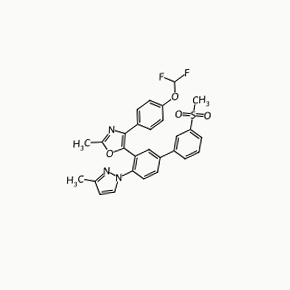 Cc1ccn(-c2ccc(-c3cccc(S(C)(=O)=O)c3)cc2-c2oc(C)nc2-c2ccc(OC(F)F)cc2)n1